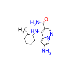 CC1CCCCC1Nc1c(C(N)=O)cnn2cc(N)cc12